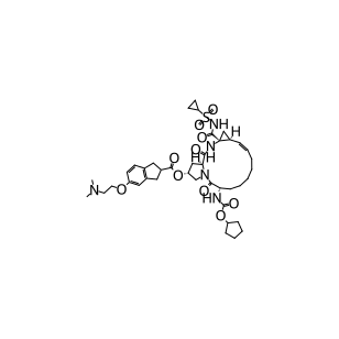 CN(C)CCOc1ccc2c(c1)CC(C(=O)O[C@@H]1C[C@H]3C(=O)N[C@]4(C(=O)NS(=O)(=O)C5CC5)C[C@H]4/C=C\CCCCC[C@H](NC(=O)OC4CCCC4)C(=O)N3C1)C2